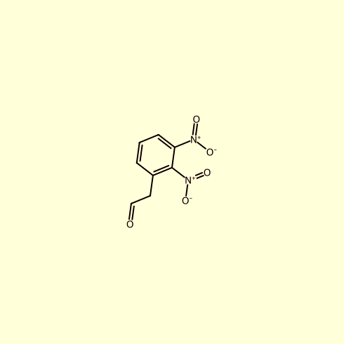 O=CCc1cccc([N+](=O)[O-])c1[N+](=O)[O-]